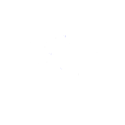 Cc1cccc(C(=O)NC23CC4CC(C2)CC(NC(=O)C2CC2C)(C4)C3)n1